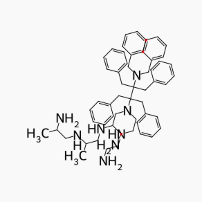 CC(N)CNC(C)CNC(CN)CN(CCNCCN)C(Cc1ccccc1)(Cc1ccccc1)C(Cc1ccccc1)(Cc1ccccc1)N(Cc1ccccc1)Cc1ccccc1